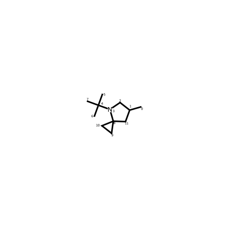 CC1CN(C(C)(C)C)C2(CC2)C1